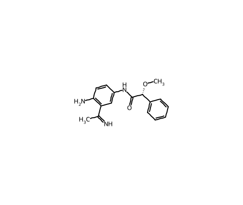 CO[C@@H](C(=O)Nc1ccc(N)c(C(C)=N)c1)c1ccccc1